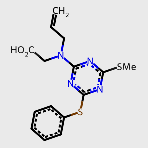 C=CCN(CC(=O)O)c1nc(SC)nc(Sc2ccccc2)n1